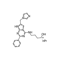 CCC[C@@H](O)CCCNc1nc(-c2ccccc2)nc2[nH]c(Cn3ccnc3)cc12